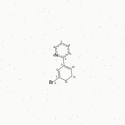 BrC1=CC(c2ccccn2)=CCC1